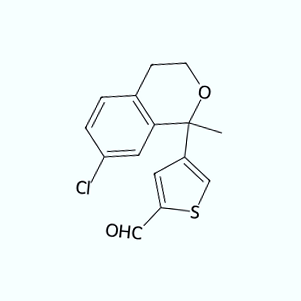 CC1(c2csc(C=O)c2)OCCc2ccc(Cl)cc21